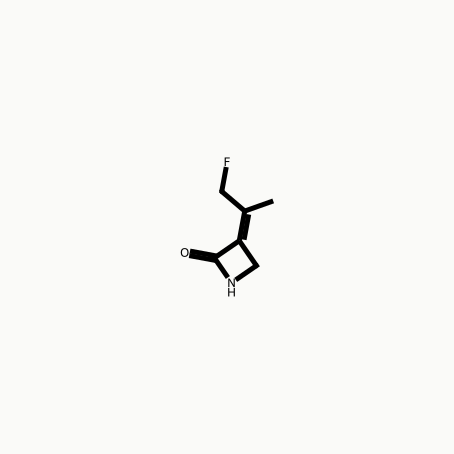 CC(CF)=C1CNC1=O